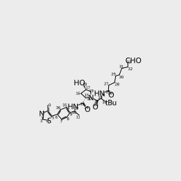 Cc1ncsc1-c1ccc(C(C)NC(=O)[C@@H]2C[C@@H](O)CN2C(=O)C(NC(=O)CCCCCCC=O)C(C)(C)C)cc1